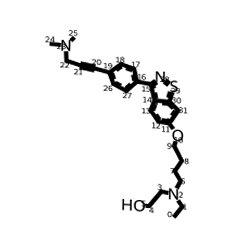 CCN(CCO)CCCCOc1ccc2c(-c3ccc(C#CCN(C)C)cc3)nsc2c1